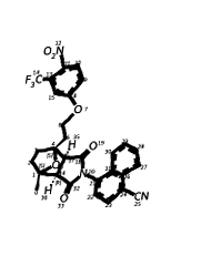 C[C@@]12CC[C@@](CCOc3ccc([N+](=O)[O-])c(C(F)(F)F)c3)(O1)[C@H]1C(=O)N(c3ccc(C#N)c4ccccc34)C(=O)[C@H]12